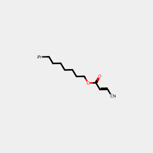 CC(C)CCCCCCCOC(=O)C=CC#N